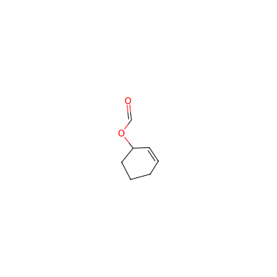 O=COC1C=CCCC1